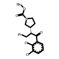 CC(C)CC(C(=O)c1cccc(Cl)c1Cl)[C@H]1CCN(C(=O)OC(C)(C)C)C1